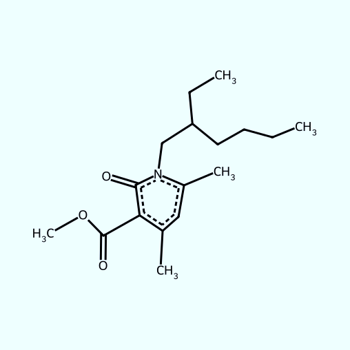 CCCCC(CC)Cn1c(C)cc(C)c(C(=O)OC)c1=O